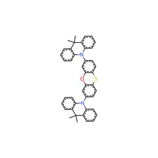 CC1(C)c2ccccc2N(c2ccc3c(c2)Oc2cc(N4c5ccccc5C(C)(C)c5ccccc54)ccc2S3)c2ccccc21